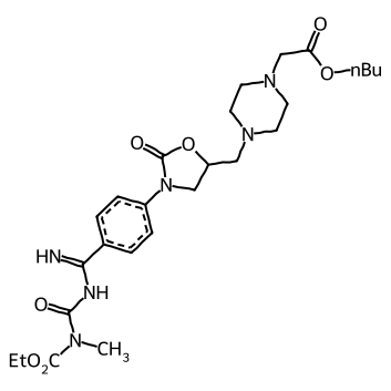 CCCCOC(=O)CN1CCN(CC2CN(c3ccc(C(=N)NC(=O)N(C)C(=O)OCC)cc3)C(=O)O2)CC1